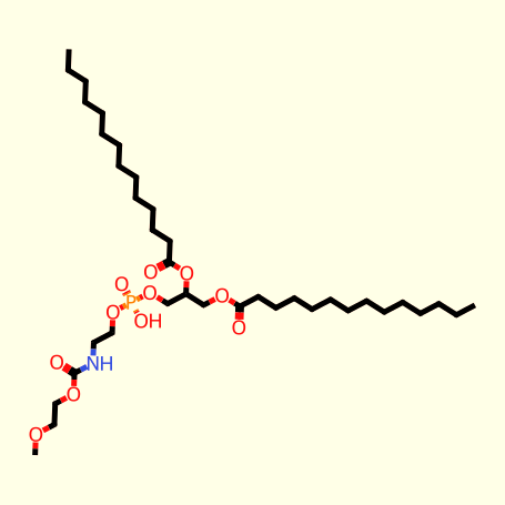 CCCCCCCCCCCCCC(=O)OCC(COP(=O)(O)OCCNC(=O)OCCOC)OC(=O)CCCCCCCCCCCCC